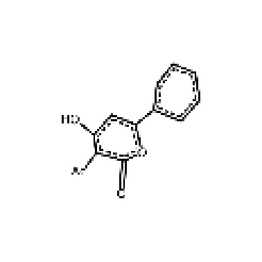 CC(=O)c1c(O)cc(-c2ccccc2)oc1=O